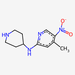 Cc1cc(NC2CCNCC2)ncc1[N+](=O)[O-]